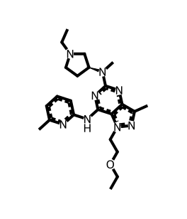 CCOCCn1nc(C)c2nc(N(C)[C@H]3CCN(CC)C3)nc(Nc3cccc(C)n3)c21